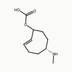 CN[C@@H]1CC/C=C/C(OC(=O)O)CC1